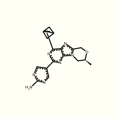 C[C@H]1Cn2c(nc3c(N4CC5CC4C5)nc(-c4cnc(N)nc4)nc32)CO1